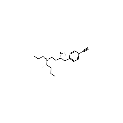 CCC[C@H](C)N(CCC)CC[C@H](N)Cc1ccc(C#N)cc1